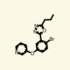 CCCc1nnc(-c2cc(Oc3cccnc3)ccc2Br)o1